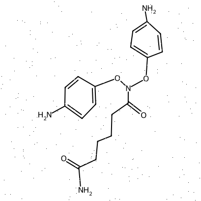 NC(=O)CCCCC(=O)N(Oc1ccc(N)cc1)Oc1ccc(N)cc1